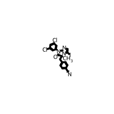 C[C@@]1(Cc2ccc(C#N)cc2)C(=O)N(c2cc(Cl)cc(Cl)c2)c2ncc(I)n21